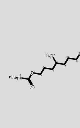 CCCCCCCC(=O)OCCCC(N)CCCN